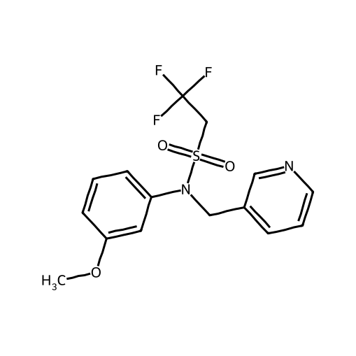 COc1cccc(N(Cc2cccnc2)S(=O)(=O)CC(F)(F)F)c1